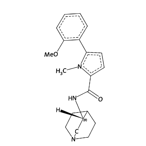 COc1ccccc1-c1ccc(C(=O)N[C@H]2CN3CCC2CC3)n1C